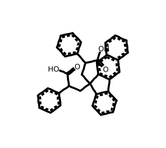 O=C(O)C(CC1(CC(C(=O)O)c2ccccc2)c2ccccc2-c2cc3ccccc3cc21)c1ccccc1